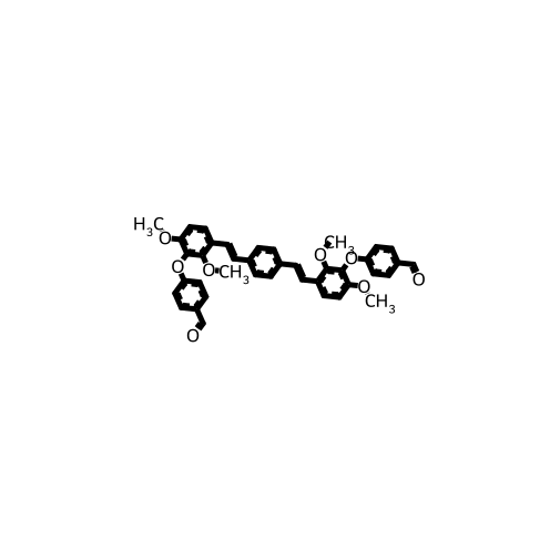 COc1ccc(C=Cc2ccc(C=Cc3ccc(OC)c(Oc4ccc(C=O)cc4)c3OC)cc2)c(OC)c1Oc1ccc(C=O)cc1